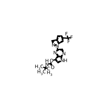 CC(C)(C)NC(=O)Oc1c[nH]c2ncc(-n3ncc4ccc(C(F)(F)F)cc43)nc12